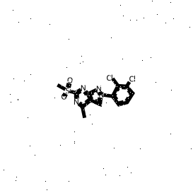 Cc1nc(S(C)(=O)=O)nc2nn(-c3cccc(Cl)c3Cl)cc12